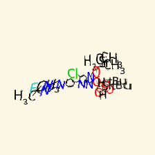 CC(C)(F)Cn1cc2c(n1)CN(c1ccc(-c3nc4nc(O[C@@H]5CO[C@@H]6CO[Si](C(C)(C)C)(C(C)(C)C)O[C@H]65)n(COCC[Si](C)(C)C)c4cc3Cl)cc1)C2